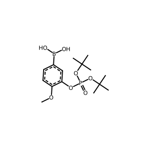 COc1ccc(B(O)O)cc1OP(=O)(OC(C)(C)C)OC(C)(C)C